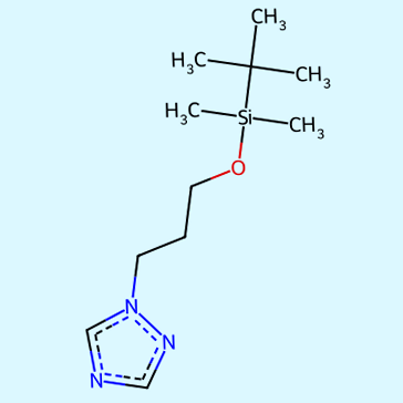 CC(C)(C)[Si](C)(C)OCCCn1cncn1